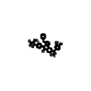 C[C@H]1CC2C(=O)N(c3ccc(-c4noc(=O)n4C)cc3)c3c(Cc4ccccc4)cnn3C2CN1C(=O)c1ccc(Br)c(C(F)(F)F)c1